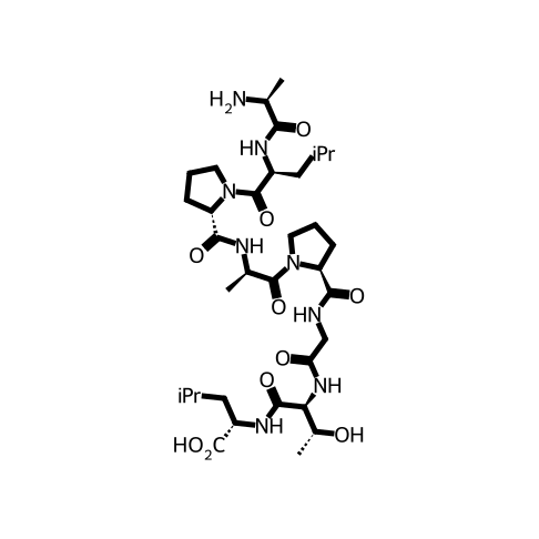 CC(C)C[C@H](NC(=O)[C@@H](NC(=O)CNC(=O)[C@@H]1CCCN1C(=O)[C@@H](C)NC(=O)[C@@H]1CCCN1C(=O)[C@H](CC(C)C)NC(=O)[C@H](C)N)[C@@H](C)O)C(=O)O